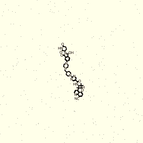 CC1(C)[C@H](NC(=O)c2cnc(N3CCC(CN4CCN(c5ccc6c(c5)C(=O)N(C5CCC(=O)NC5=O)C6O)CC4)CC3)nc2)C2(C)c3ccnc4c(C#N)ccc(c34)O[C@@H]12